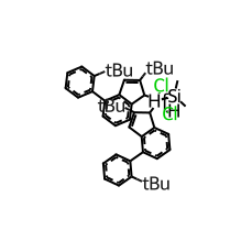 C[SiH](C)[Hf]([Cl])([Cl])([CH]1C(C(C)(C)C)=Cc2c(-c3ccccc3C(C)(C)C)cccc21)[CH]1C(C(C)(C)C)=Cc2c(-c3ccccc3C(C)(C)C)cccc21